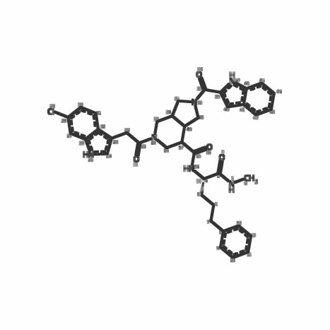 CNC(=O)[C@H](CCCc1ccccc1)NC(=O)C1CN(C(=O)Cc2c[nH]c3cc(Cl)ccc23)CC2CN(C(=O)c3cc4ccccc4[nH]3)CC21